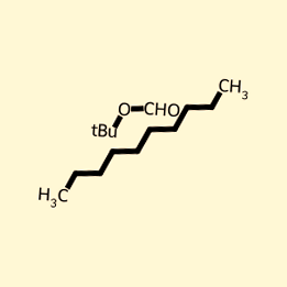 CC(C)(C)OC=O.CCCCCCCCCC